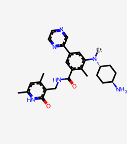 CCN(c1cc(-c2cnccn2)cc(C(=O)NCc2c(C)cc(C)[nH]c2=O)c1C)[C@H]1CC[C@H](N)CC1